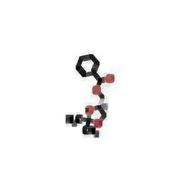 CC1(C)OC[C@@H](COC(=O)c2ccccc2)O1